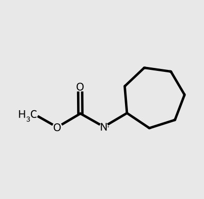 COC(=O)[N]C1CCCCCC1